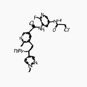 CCC/C(=C\c1cc(C(=O)Nc2cc(NC(=O)CCl)cnc2F)cnc1C)c1cnn(C)c1